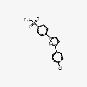 CS(=O)(=O)c1ccc(-n2ccc(-c3ccc(Cl)cc3)n2)cc1